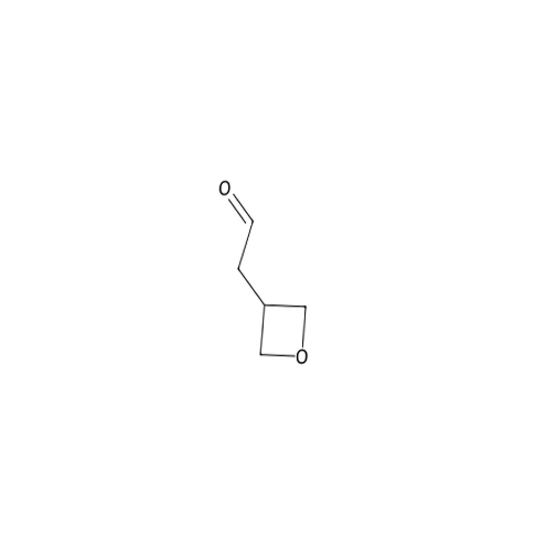 O=CCC1COC1